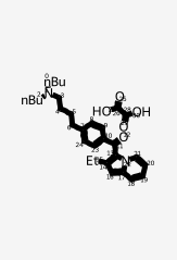 CCCCN(CCCC)CCCCc1ccc(C(=O)c2c(CC)cc3ccccn23)cc1.O=C(O)C(=O)O